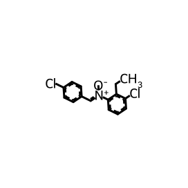 CCc1c(Cl)cccc1[N+]([O-])=Cc1ccc(Cl)cc1